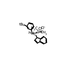 C[SiH](C)[Hf+2]([NH]c1cccc(C(C)(C)C)c1)[CH]1C=Cc2ccccc21.[Cl-].[Cl-]